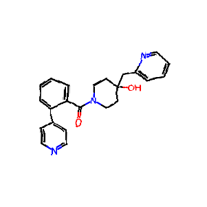 O=C(c1ccccc1-c1ccncc1)N1CCC(O)(Cc2ccccn2)CC1